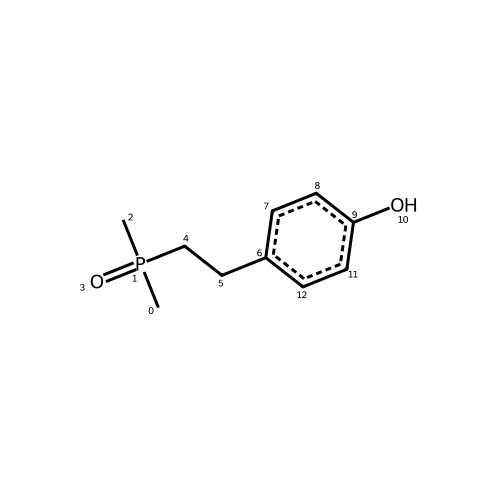 CP(C)(=O)CCc1ccc(O)cc1